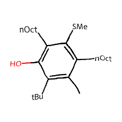 CCCCCCCCc1c(C)c(C(C)(C)C)c(O)c(CCCCCCCC)c1SC